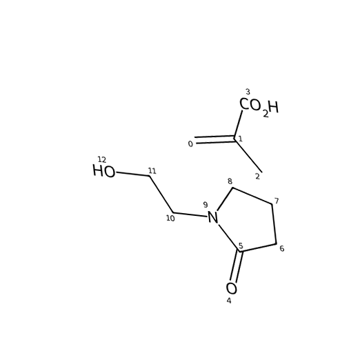 C=C(C)C(=O)O.O=C1CCCN1CCO